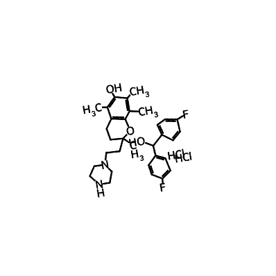 Cc1c(C)c2c(c(C)c1O)CCC(C)(CCN1CCNCC1)O2.Cl.Cl.OC(c1ccc(F)cc1)c1ccc(F)cc1